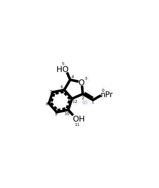 CCC/C=C1\OC(O)c2cccc(O)c21